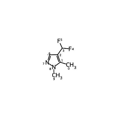 Cc1c(C(F)F)[c]nn1C